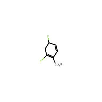 O=S(=O)(O)C1=C(F)CC(F)C=C1